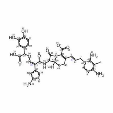 Cc1c(N)nc[n+](C/C=C/C2=C(C(=O)[O-])N3C(=O)C(NC(=O)/C(=N\OC(C(=O)O)c4ccc(O)c(O)c4)c4csc(N)n4)[C@H]3SC2)c1N